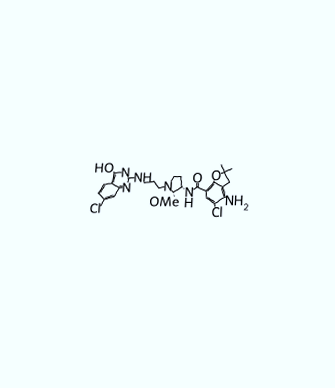 CO[C@H]1[C@@H](NC(=O)c2cc(Cl)c(N)c3c2OC(C)(C)C3)CCN1CCCNc1nc(O)c2ccc(Cl)cc2n1